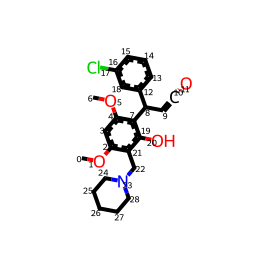 COc1cc(OC)c(C(C=C=O)c2cccc(Cl)c2)c(O)c1CN1CCCCC1